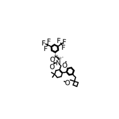 COCC1(Cc2ccc(OC)c(C3=C(CN4C(=O)O[C@H](c5cc(C(F)(F)F)cc(C(F)(F)F)c5)[C@@H]4C)CC(C)(C)CC3)c2)CCC1